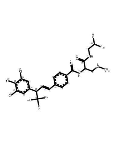 COCC(NC(=O)c1ccc(/C=C/C(c2cc(Cl)c(Cl)c(Cl)c2)C(F)(F)F)cc1)C(=O)NCC(F)F